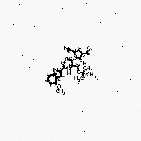 COc1cccc2[nH]c(C(=O)NC(C(=O)N3CC(C=O)CC3C#N)C(C)OC(C)(C)C)cc12